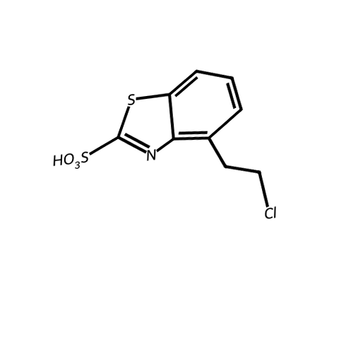 O=S(=O)(O)c1nc2c(CCCl)cccc2s1